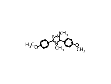 COc1ccc(C2=NN(C)C(c3ccc(OC)cc3)N2C)cc1